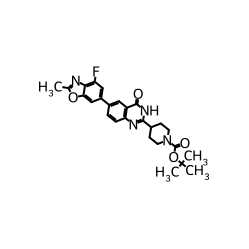 Cc1nc2c(F)cc(-c3ccc4nc(C5CCN(C(=O)OC(C)(C)C)CC5)[nH]c(=O)c4c3)cc2o1